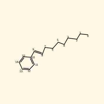 CCCCCCCCC=Cc1cc[c]cc1